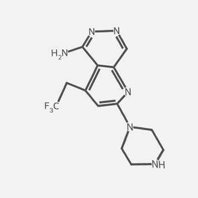 Nc1nncc2nc(N3CCNCC3)cc(CC(F)(F)F)c12